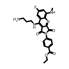 CCOC(=O)c1ccc(N2C(=O)c3nc4c(NC)cc(F)cc4c(NCCCN)c3C2=O)cc1